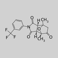 CC12CC(=O)[C@@](C)(O1)[C@@H]1C(=O)N(c3cccc(C(F)(F)F)c3)C(=O)[C@@H]12